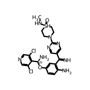 CN[SH]1(=O)CCN(c2ncc(C(=N)c3cc(O[C@H](N)c4c(Cl)cncc4Cl)ccc3N)cn2)CC1